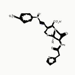 O=C(Cc1cccs1)NC1C(=O)N2C(C(=O)O)=C(/C=C/[S+]([O-])c3ccc([N+](=O)[O-])cc3)CS[C@H]12